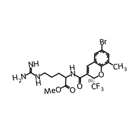 COC(=O)C(CCCNC(=N)N)NC(=O)C1=Cc2cc(Br)cc(C)c2O[C@@H]1C(F)(F)F